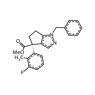 COC(=O)[C@@]1(c2cccc(F)c2C)CCc2c1cnn2Cc1ccccc1